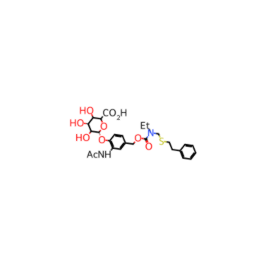 CCN(CSCCc1ccccc1)C(=O)OCc1ccc(O[C@H]2OC(C(=O)O)C(O)[C@H](O)C2O)c(NC(C)=O)c1